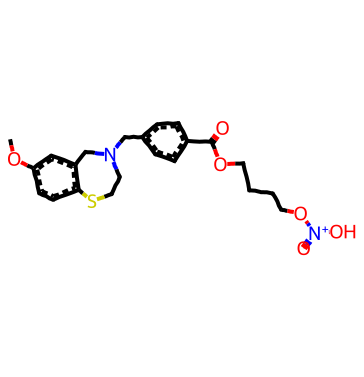 COc1ccc2c(c1)CN(Cc1ccc(C(=O)OCCCCO[N+](=O)O)cc1)CCS2